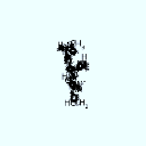 CC(C)c1ccccc1[C@@H]1COC2(CC2)CN1C1CC2(CCN(c3ccc(C(=O)NS(=O)(=O)c4cnc(NCC5CCC(C)(O)CC5)c([N+](=O)[O-])c4)c(Oc4cnc5[nH]cc(F)c5c4)c3)CC2)C1